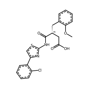 COc1ccccc1C[C@H](CC(=O)O)C(=O)Nc1nc(-c2ccccc2Cl)cs1